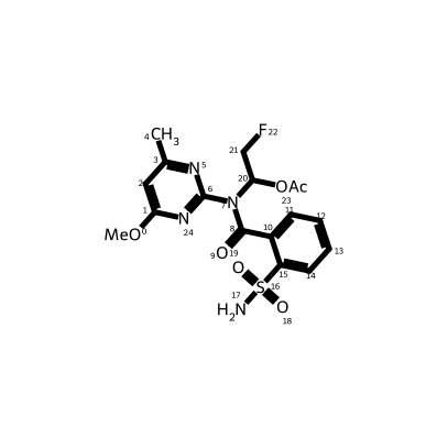 COc1cc(C)nc(N(C(=O)c2ccccc2S(N)(=O)=O)C(CF)OC(C)=O)n1